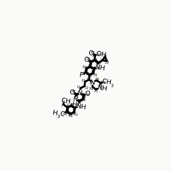 CCc1cc(Nc2cc(=O)n(CCCC(c3cc4[nH]c(C5CC5)c(C(=O)O)c(=O)c4cc3F)N3CCNC(C)C3)c(=O)[nH]2)ccc1C